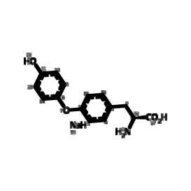 N[C@@H](Cc1ccc(Oc2ccc(O)cc2)cc1)C(=O)O.[NaH]